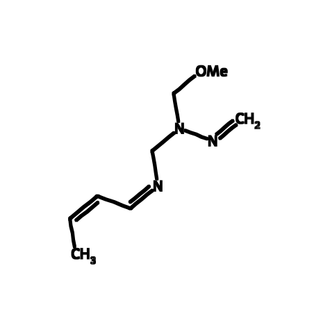 C=NN(C/N=C\C=C/C)COC